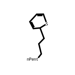 CCCCCCCCC1C=CC=CS1